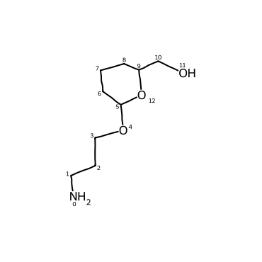 NCCCOC1CCCC(CO)O1